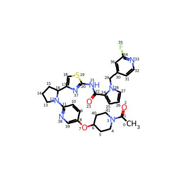 CC(=O)N1CCC(Oc2ccc(N3CCCC3c3csc(NC(=O)c4cccn4Cc4ccnc(F)c4)n3)nc2)CC1